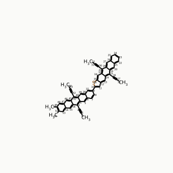 CC#Cc1c2cc3ccc(-c4cc5cc6c(C#CC)c7cc8ccccc8cc7c(C#CC)c6cc5s4)cc3cc2c(C#CC)c2cc3cc(C)c(C)cc3cc12